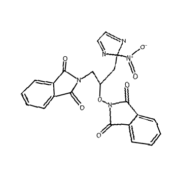 O=C1c2ccccc2C(=O)N1CC(CC1([N+](=O)[O-])N=CC=N1)ON1C(=O)c2ccccc2C1=O